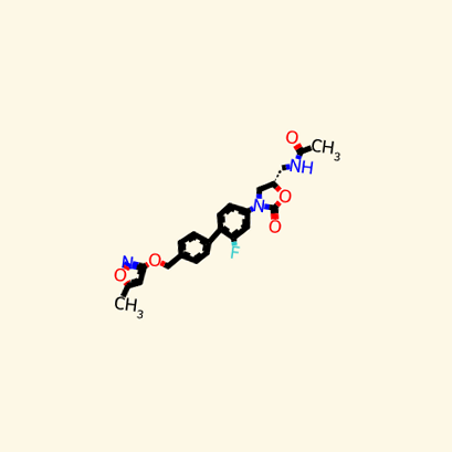 CC(=O)NC[C@H]1CN(c2ccc(-c3ccc(COc4cc(C)on4)cc3)c(F)c2)C(=O)O1